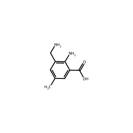 Cc1cc(CN)c(N)c(C(=O)O)c1